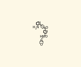 Nc1cccnc1N1CCN(C(=O)c2ccc(C(=O)NCCN3CCOCC3)cn2)CC1